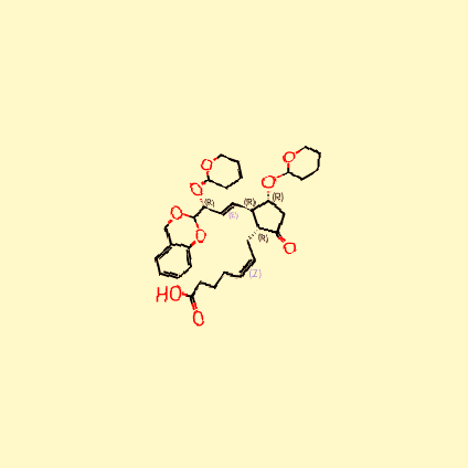 O=C(O)CCC/C=C\C[C@H]1C(=O)C[C@@H](OC2CCCCO2)[C@@H]1/C=C/[C@@H](OC1CCCCO1)C1OCc2ccccc2O1